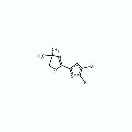 CC1(C)COC(c2[c]c(Br)c(Br)s2)=N1